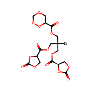 CCC(COC(=O)C1COCOO1)(COC(=O)C1COC(=O)O1)COC(=O)[C@H]1COC(=O)O1